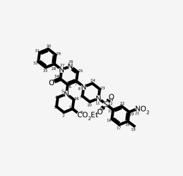 CCOC(=O)C1CCCN(c2c(N3CCN(S(=O)(=O)c4ccc(C)c([N+](=O)[O-])c4)CC3)cnn(-c3ccccc3)c2=O)C1